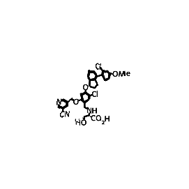 COc1ccc(-c2cccc3c2CC[C@@H]3Oc2cc(OCc3cncc(C#N)c3)c(CN[C@@H](CO)C(=O)O)cc2Cl)c(Cl)c1